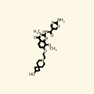 COc1c(OCCN2CCC3(CC2)CC(O)C3)ccc2c(=O)n(C)c(NC(=O)c3cnc(N)nc3)nc12